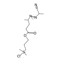 CC(C#N)/N=N/C(C)CCC(=O)OCCC[Si](C)(C)Cl